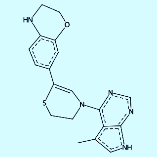 Cc1c[nH]c2ncnc(N3C=C(c4ccc5c(c4)OCCN5)SCC3)c12